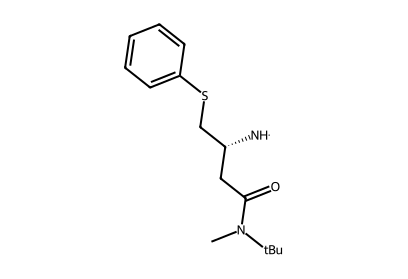 CN(C(=O)C[C@@H]([NH])CSc1ccccc1)C(C)(C)C